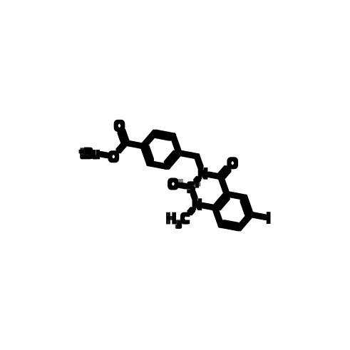 CN1c2ccc(I)cc2C(=O)N(Cc2ccc(C(=O)OC(C)(C)C)cc2)[S+]1[O-]